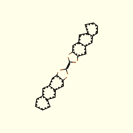 c1ccc2cc3cc4c(cc3cc2c1)SC(=C1Sc2cc3cc5ccccc5cc3cc2S1)S4